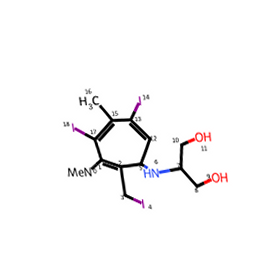 CNC1=C(CI)C(NC(CO)CO)C=C(I)C(C)=C1I